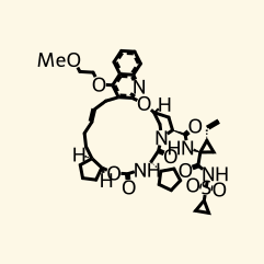 C=C[C@@H]1C[C@]1(NC(=O)[C@@H]1C[C@@H]2CN1C(=O)[C@H](C1CCCC1)NC(=O)O[C@@H]1CCC[C@H]1CC/C=C/Cc1c(nc3ccccc3c1OCCOC)O2)C(=O)NS(=O)(=O)C1CC1